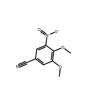 COc1cc(C#N)cc([N+](=O)[O-])c1OC